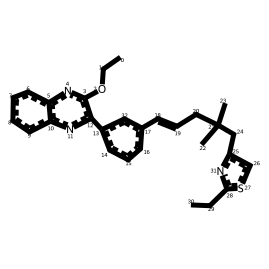 CCOc1nc2ccccc2nc1-c1cccc(/C=C/CC(C)(C)Cc2csc(CC)n2)c1